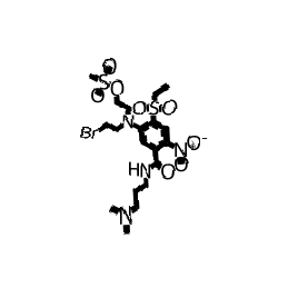 CCS(=O)(=O)c1cc([N+](=O)[O-])c(C(=O)NCCCN(C)C)cc1N(CCBr)CCOS(C)(=O)=O